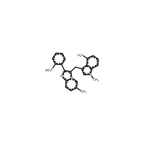 Cc1ccc2nc(-c3ccccc3C(=O)O)c(Cc3cn(C)c4cccc(C)c34)n2c1